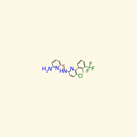 Cc1c(-c2nc(NSc3cccc(N)n3)ccc2Cl)cccc1C(F)(F)F